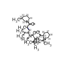 C/C(=C\[C@H](C(C)C)N(C)C(=O)[C@@H](NC(=O)C1CCCCN1C(C)C)C(C)C)C(=O)N1CCCC(C)C1